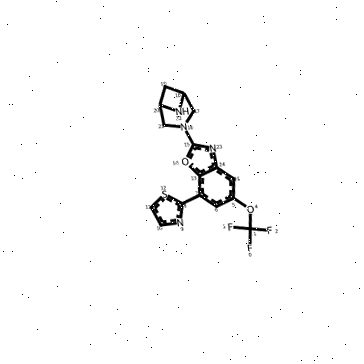 FC(F)(F)Oc1cc(-c2nccs2)c2oc(N3CC4CC(C3)N4)nc2c1